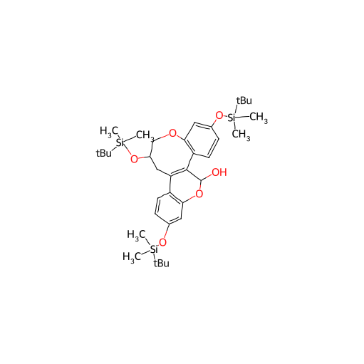 CC(C)(C)[Si](C)(C)Oc1ccc2c(c1)OC(O)C1=C2CC(O[Si](C)(C)C(C)(C)C)COc2cc(O[Si](C)(C)C(C)(C)C)ccc21